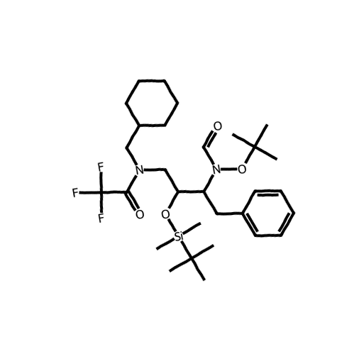 CC(C)(C)ON(C=O)C(Cc1ccccc1)C(CN(CC1CCCCC1)C(=O)C(F)(F)F)O[Si](C)(C)C(C)(C)C